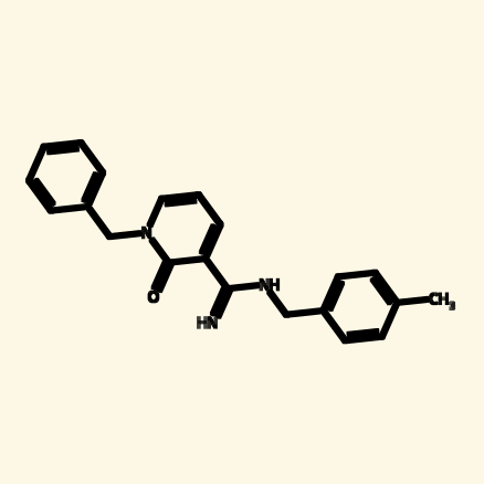 Cc1ccc(CNC(=N)c2cccn(Cc3ccccc3)c2=O)cc1